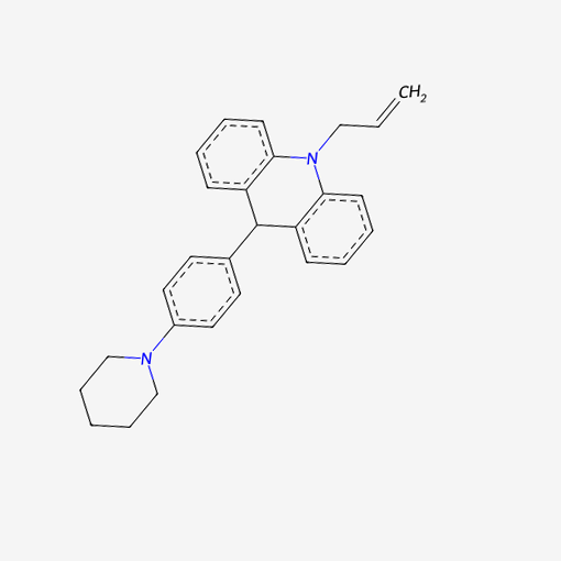 C=CCN1c2ccccc2C(c2ccc(N3CCCCC3)cc2)c2ccccc21